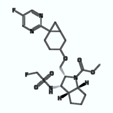 COC(=O)N1[C@@H]2CCC[C@@H]2[C@H](NS(=O)(=O)CF)[C@@H]1COC1CCC2(c3ncc(F)cn3)CC2C1